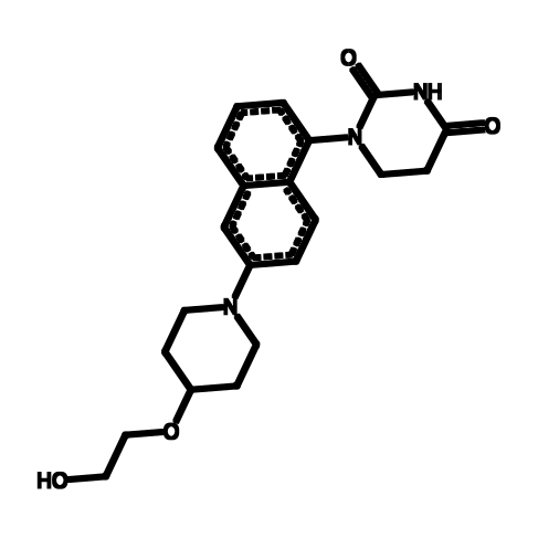 O=C1CCN(c2cccc3cc(N4CCC(OCCO)CC4)ccc23)C(=O)N1